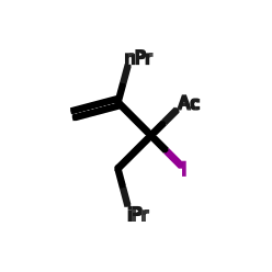 C=C(CCC)C(I)(CC(C)C)C(C)=O